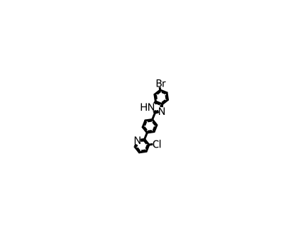 Clc1cccnc1-c1ccc(-c2nc3ccc(Br)cc3[nH]2)cc1